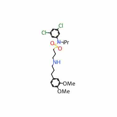 COc1ccc(CCCNCCCS(=O)(=O)N(c2cc(Cl)cc(Cl)c2)C(C)C)cc1OC